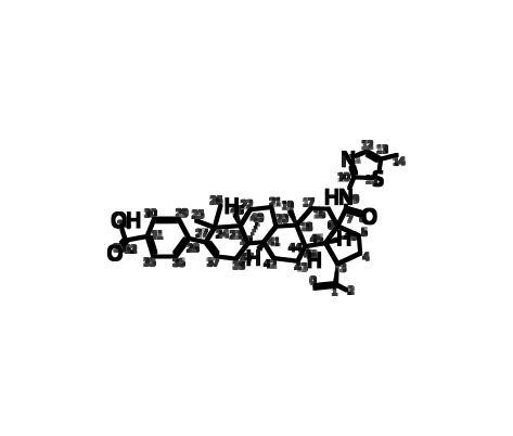 C=C(C)[C@@H]1CCC2(C(=O)Nc3ncc(C)s3)CC[C@@]3(C)C4CC[C@H]5C(C)(C)C(c6ccc(C(=O)O)cc6)=CC[C@]5(C)[C@H]4CC[C@@H]3[C@@H]12